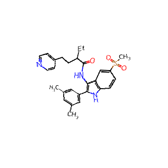 CCC(CCc1ccncc1)C(=O)Nc1c(-c2cc(C)cc(C)c2)[nH]c2ccc(S(C)(=O)=O)cc12